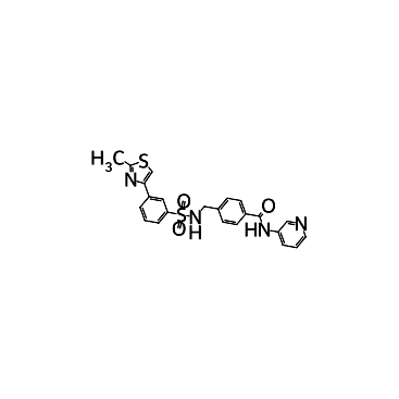 Cc1nc(-c2cccc(S(=O)(=O)NCc3ccc(C(=O)Nc4cccnc4)cc3)c2)cs1